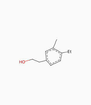 CCc1ccc(CCO)cc1C